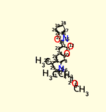 COCCCCN1c2cc3oc(=O)c(-c4nc5ccccc5o4)cc3cc2C(C)=CC1(C)C